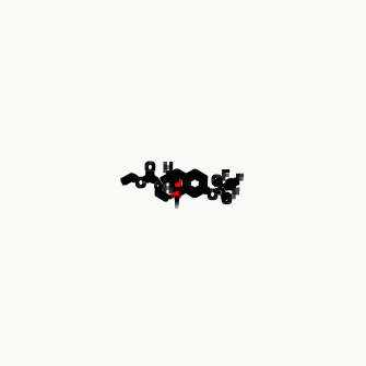 CCOC(=O)N1CC[C@@]23CCCC[C@@H]2[C@@H]1Cc1ccc(OS(=O)(=O)C(F)(F)F)cc13